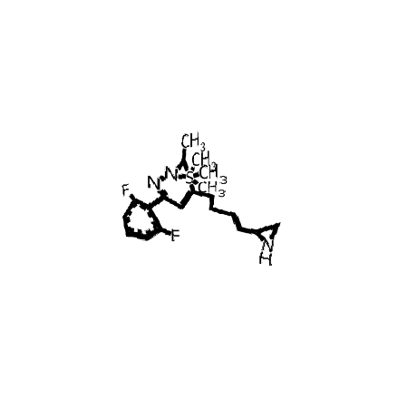 CC1N2N=C(c3c(F)cccc3F)C=C(CCCCC3CN3)S12(C)(C)C